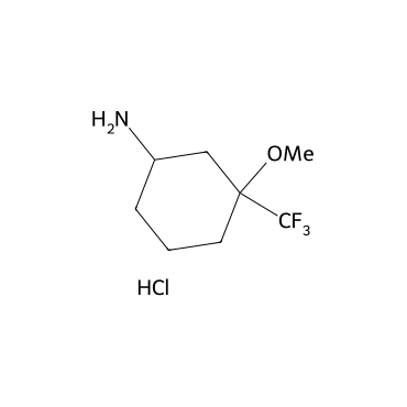 COC1(C(F)(F)F)CCCC(N)C1.Cl